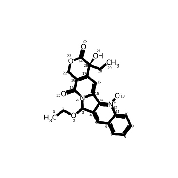 CCOC1c2cc3ccccc3[n+]([O-])c2-c2cc3c(c(=O)n21)COC(=O)[C@]3(O)CC